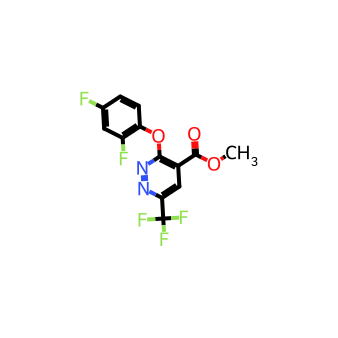 COC(=O)c1cc(C(F)(F)F)nnc1Oc1ccc(F)cc1F